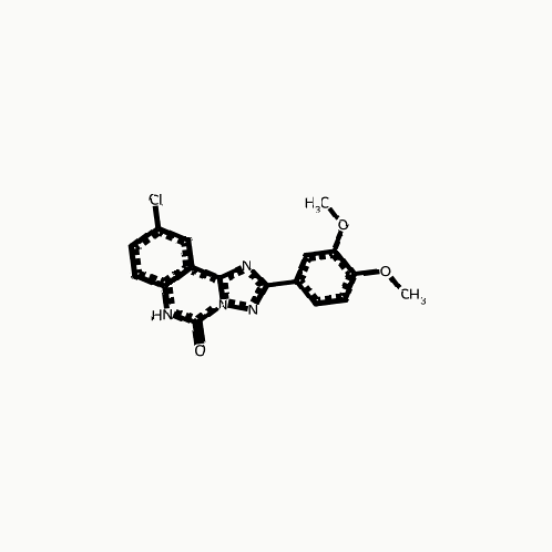 COc1ccc(-c2nc3c4cc(Cl)ccc4[nH]c(=O)n3n2)cc1OC